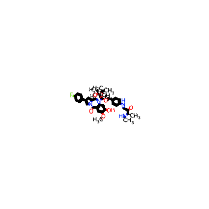 CN[C@@H](C)C(=O)CNc1ccc(COC(=O)N2c3cc(O)c(OC)cc3C(=O)N3C=C(c4ccc(F)cc4)C[C@H]3[C@@H]2O[Si](C)(C)C(C)(C)C)cc1